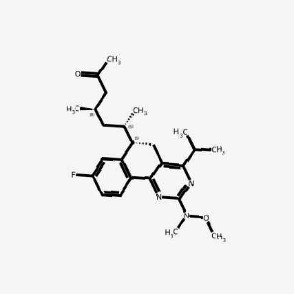 CON(C)c1nc2c(c(C(C)C)n1)C[C@@H]([C@@H](C)C[C@@H](C)CC(C)=O)c1cc(F)ccc1-2